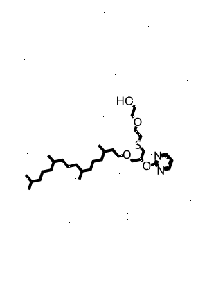 CC(C)CCCC(C)CCCC(C)CCCC(C)CCOCC(CSCCOCCO)Oc1ncccn1